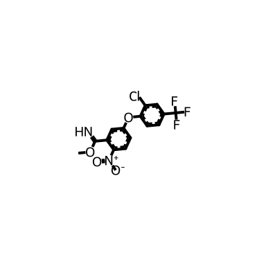 COC(=N)c1cc(Oc2ccc(C(F)(F)F)cc2Cl)ccc1[N+](=O)[O-]